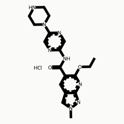 CCOc1nc2nn(C)cc2cc1C(=O)Nc1cnc(N2CCNCC2)cn1.Cl